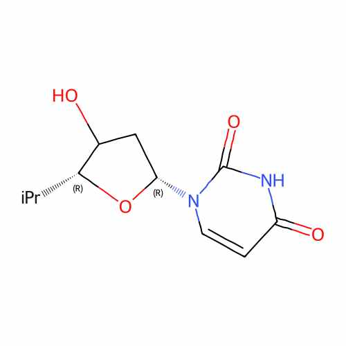 CC(C)[C@H]1O[C@@H](n2ccc(=O)[nH]c2=O)CC1O